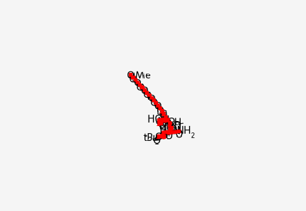 COCCOCCOCCOCCOCCOCCOCCOCCOCCOCCOCCN(CCC(=O)N[C@H](C(=O)N[C@@H](CCCNC(N)=O)C(=O)Nc1ccc(COC(=O)C(C)(C)C)cc1)C(C)C)C(=O)CN1C(=O)C=CC1O